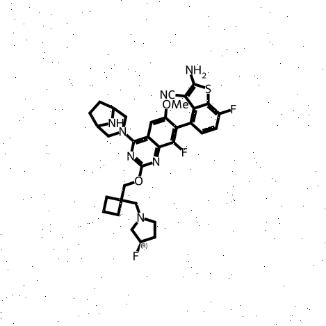 COc1cc2c(N3CC4CCC(C3)N4)nc(OCC3(CN4CC[C@@H](F)C4)CCC3)nc2c(F)c1-c1ccc(F)c2sc(N)c(C#N)c12